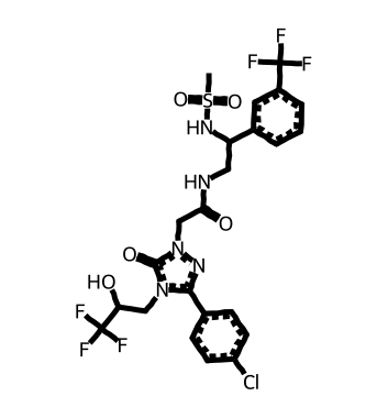 CS(=O)(=O)NC(CNC(=O)Cn1nc(-c2ccc(Cl)cc2)n(CC(O)C(F)(F)F)c1=O)c1cccc(C(F)(F)F)c1